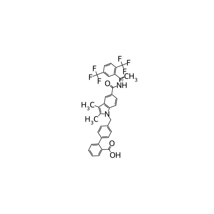 Cc1c(C)n(Cc2ccc(-c3ccccc3C(=O)O)cc2)c2ccc(C(=O)N[C@H](C)c3cc(C(F)(F)F)ccc3C(F)(F)F)cc12